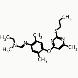 CCCSc1nc(C)cc(Oc2cc(C)c(N=CN(C)CC)cc2C)n1